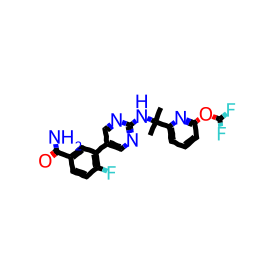 CC(C)(Nc1ncc(-c2cc(C(N)=O)ccc2F)cn1)c1cccc(OC(F)F)n1